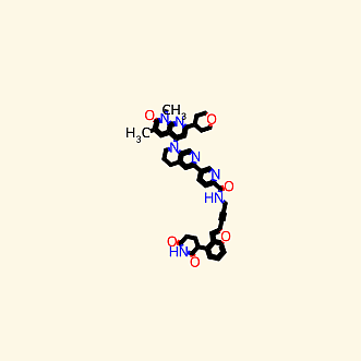 Cc1cc2c(N3CCCc4cc(-c5ccc(C(=O)NCC#Cc6cc7c(C8CCC(=O)NC8=O)cccc7o6)nc5)ncc43)cc(C3CCOCC3)nc2n(C)c1=O